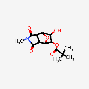 CN1C(=O)C2C3OC(C(OC(=O)C(C)(C)C)C3O)C2C1=O